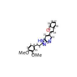 COc1ccc(CCc2nc3ncc(-c4cc5ccccc5o4)cc3[nH]2)cc1OC